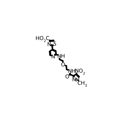 Cn1cc([N+](=O)[O-])c(C(=O)NCCOCCNc2cc(-c3nc(C(=O)O)cs3)ccn2)n1